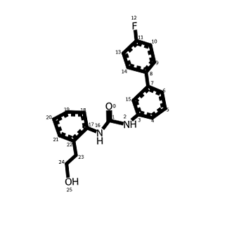 O=C(Nc1cccc(-c2ccc(F)cc2)c1)Nc1ccccc1CCO